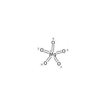 [O]=[Mg](=[O])(=[O])(=[O])=[O]